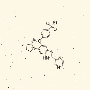 CCS(=O)(=O)c1ccc(Oc2cc3nc(-c4cnccn4)[nH]c3cc2N2CCCC2C(C)=O)cc1